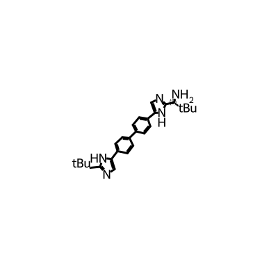 CC(C)(C)Cc1ncc(-c2ccc(-c3ccc(-c4cnc([C@@H](N)C(C)(C)C)[nH]4)cc3)cc2)[nH]1